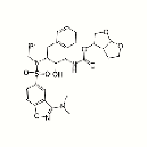 CC(C)CN(C(Cc1ccccc1)C(O)CNC(=O)OC1COC2OCCC12)S(=O)(=O)c1ccc2onc(N(C)C)c2c1